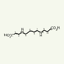 O=C(O)CCNCCCCNCCC(=O)O